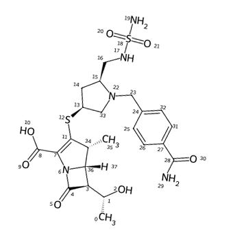 C[C@@H](O)[C@H]1C(=O)N2C(C(=O)O)=C(S[C@H]3C[C@@H](CNS(N)(=O)=O)N(Cc4ccc(C(N)=O)cc4)C3)[C@H](C)[C@H]12